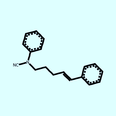 N#CN(CCCC=Cc1ccccc1)c1ccccc1